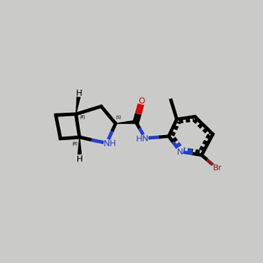 Cc1ccc(Br)nc1NC(=O)[C@@H]1C[C@H]2CC[C@H]2N1